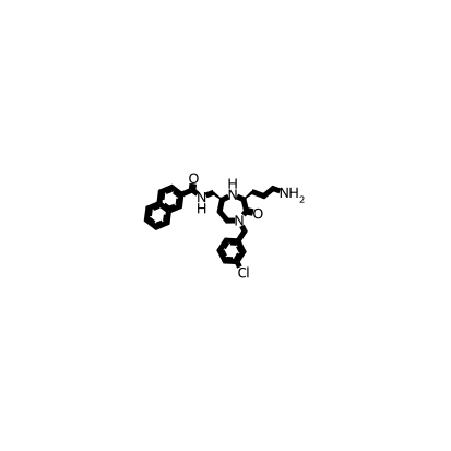 NCCC[C@@H]1N[C@H](CNC(=O)c2ccc3ccccc3c2)CCN(Cc2cccc(Cl)c2)C1=O